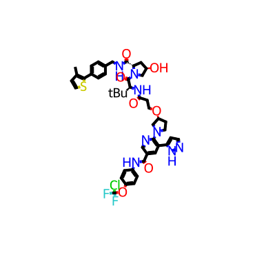 Cc1ccsc1-c1ccc(CNC(=O)[C@@H]2C[C@@H](O)CN2C(=O)[C@@H](NC(=O)CCO[C@H]2CCN(c3ncc(C(=O)Nc4ccc(OC(F)(F)Cl)cc4)cc3-c3ccn[nH]3)C2)C(C)(C)C)cc1